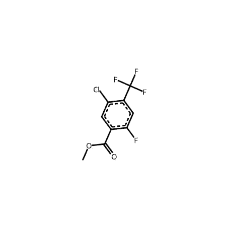 COC(=O)c1cc(Cl)c(C(F)(F)F)cc1F